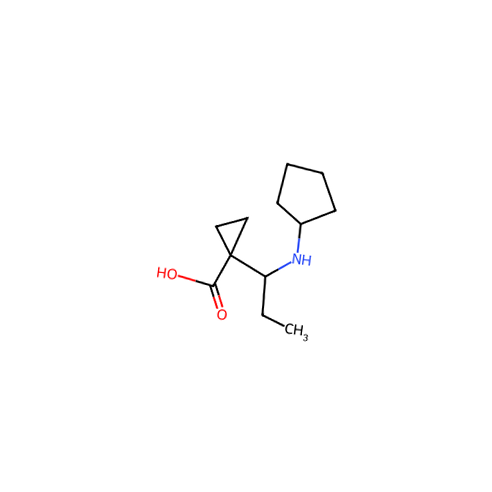 CCC(NC1CCCC1)C1(C(=O)O)CC1